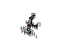 CNC(=O)[C@H]1C[C@@H](n2cnc3c(NCc4cc(C(F)(F)F)ccn4)nc(-c4cncc(Cl)c4)nc32)[C@H](O)[C@@H]1O